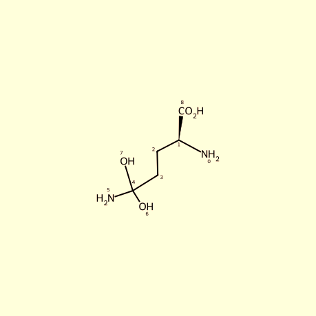 N[C@@H](CCC(N)(O)O)C(=O)O